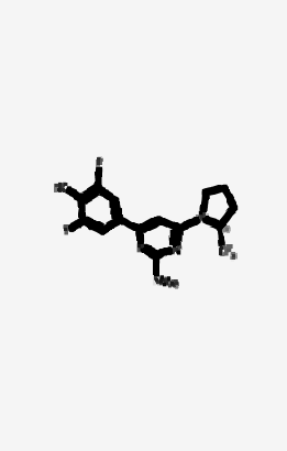 CNc1nc(-c2cc(F)c(C#N)c(F)c2)cc(N2CCC[C@H]2C(F)(F)F)n1